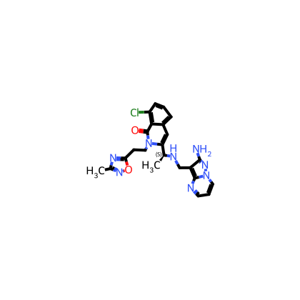 Cc1noc(CCn2c([C@H](C)NCc3c(N)nn4cccnc34)cc3cccc(Cl)c3c2=O)n1